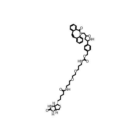 O=C(CCCC[C@@H]1SC[C@@H]2NC(=O)N[C@@H]21)NCCCOCCOCCCNC(=O)OCc1ccc(C2CC(CN3C(=O)c4ccccc4C#Cc4ccccc43)ON2)cc1